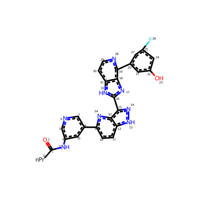 CCCC(=O)Nc1cncc(-c2ccc3[nH]nc(-c4nc5c(-c6cc(O)cc(F)c6)nccc5[nH]4)c3n2)c1